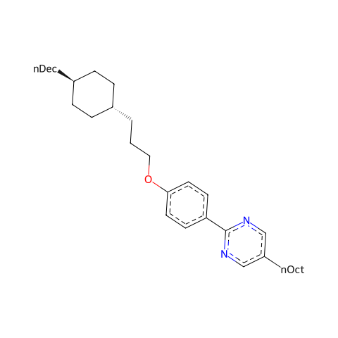 CCCCCCCCCC[C@H]1CC[C@H](CCCOc2ccc(-c3ncc(CCCCCCCC)cn3)cc2)CC1